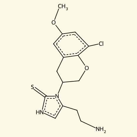 COc1cc(Cl)c2c(c1)CC(n1c(CCN)c[nH]c1=S)CO2